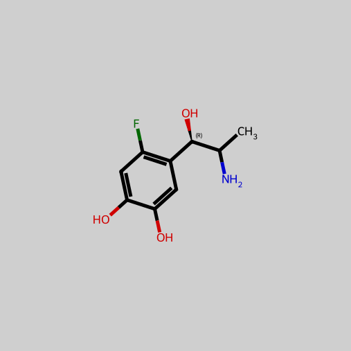 CC(N)[C@H](O)c1cc(O)c(O)cc1F